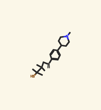 CN1CCC(c2ccc(BCC(C)(C)C(C)(C)S)cc2)CC1